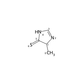 CC1N=CNC1=S